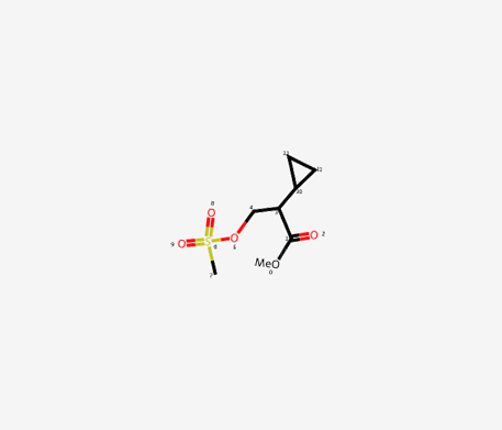 COC(=O)C(COS(C)(=O)=O)C1CC1